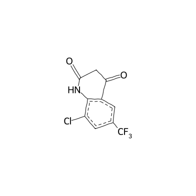 O=C1CC(=O)c2cc(C(F)(F)F)cc(Cl)c2N1